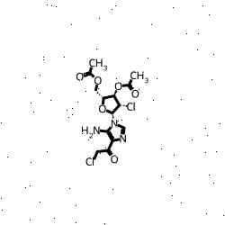 CC(=O)OC[C@H]1O[C@@H](n2cnc(C(=O)CCl)c2N)[C@@H](Cl)[C@@H]1OC(C)=O